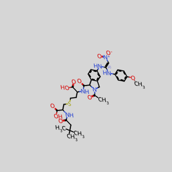 COc1ccc(N/C(=C/[N+](=O)[O-])Nc2ccc3c(c2)CN(C(C)=O)C3C(=O)NC(CCSCC(NC(=O)CC(C)(C)C)C(=O)O)C(=O)O)cc1